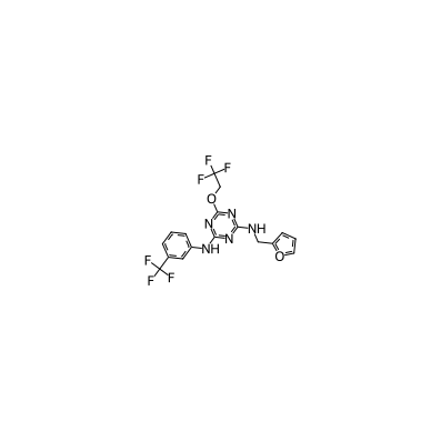 FC(F)(F)COc1nc(NCc2ccco2)nc(Nc2cccc(C(F)(F)F)c2)n1